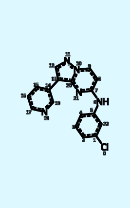 Clc1cccc(Nc2ccn3ncc(-c4cccnc4)c3n2)c1